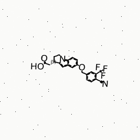 N#Cc1ccc(COc2ccc3c(c2)cc2n3CC[C@H]2CC(=O)O)cc1C(F)(F)F